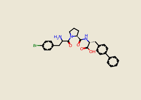 NC(Cc1ccc(Br)cc1)C(=O)N1CCC[C@H]1C(=O)N[C@H](Cc1ccc(-c2ccccc2)cc1)C(=O)O